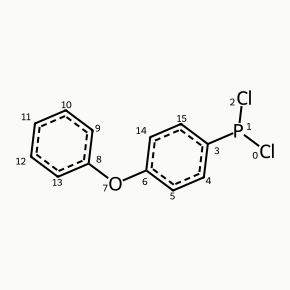 ClP(Cl)c1ccc(Oc2ccccc2)cc1